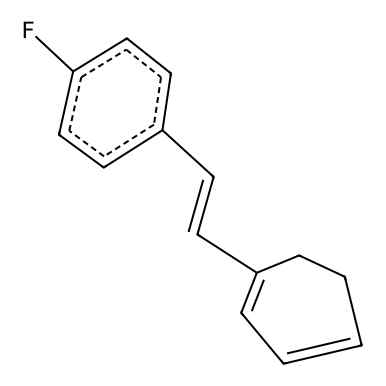 Fc1ccc(/C=C/C2=CC=CCC2)cc1